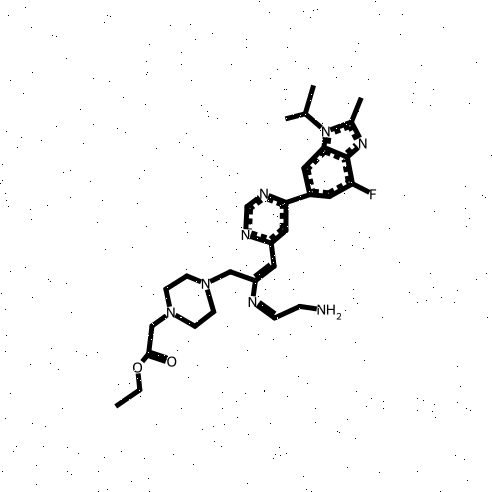 CCOC(=O)CN1CCN(CC(=Cc2cc(-c3cc(F)c4nc(C)n(C(C)C)c4c3)ncn2)/N=C\CN)CC1